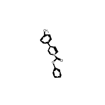 Cc1ccc(C2C=CN(C(=O)Oc3ccccc3)C=C2)cc1